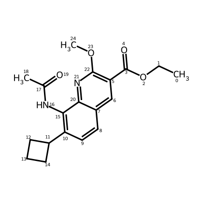 CCOC(=O)c1cc2ccc(C3CCC3)c(NC(C)=O)c2nc1OC